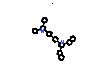 c1ccc(-c2cc(-c3ccccc3)nc(-c3ccc(-c4ccc(-c5cc(-c6ccc7ccccc7c6)cc(-c6ccc7ccccc7c6)n5)cc4)cc3)c2)cc1